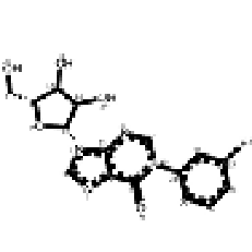 O=c1c2ncn([C@@H]3O[C@H](CO)C(O)C3O)c2ncn1-c1cccc(F)c1